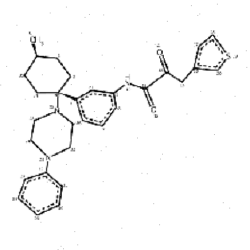 C[C@H]1CC[C@](c2cccc(NC(=O)C(=O)Cc3ccsc3)c2)(N2CCN(c3ccccc3)CC2)CC1